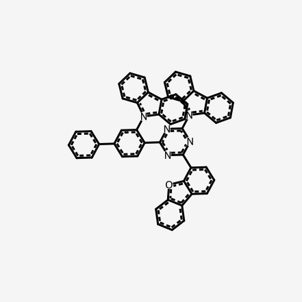 c1ccc(-c2ccc(-c3nc(-c4cccc5c4oc4ccccc45)nc(-n4c5ccccc5c5ccccc54)n3)c(-n3c4ccccc4c4ccccc43)c2)cc1